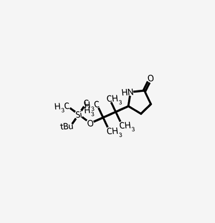 CC(C)(O[Si](C)(C)C(C)(C)C)C(C)(C)C1CCC(=O)N1